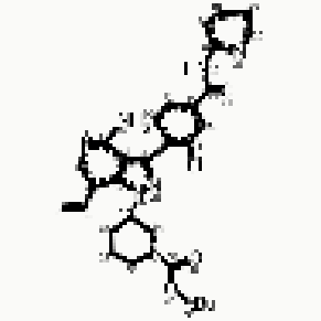 C=Cc1cnc(N)c2c(-c3ccc(C(=O)Nc4ccccn4)cc3Cl)nn([C@@H]3CCCN(C(=O)OC(C)(C)C)C3)c12